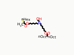 CCCCCCCCC(CCCCCCCC)C(=O)OCCCCCCCN(CCO)CCCCCCCOC(=O)C(C)CSCCCCCC